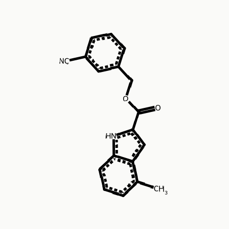 Cc1cccc2[nH]c(C(=O)OCc3cccc(C#N)c3)cc12